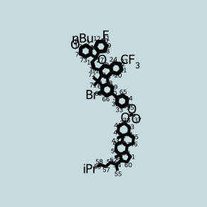 CCCCOc1ccc(C2(c3ccc(F)cc3)C=Cc3c4c(c5ccc(C(F)(F)F)cc5c3O2)-c2cc(-c3ccc(OC(=O)OC5CCC6(C)C(=CCC7C6CCC6(C)C(C(C)CCCC(C)C)CCC76)C5)cc3)cc(Br)c2C4(C)C)cc1